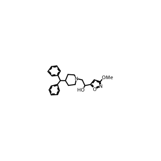 COc1cc(C(O)CN2CCC(C(c3ccccc3)c3ccccc3)CC2)on1